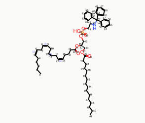 CCCCC/C=C\C/C=C\C/C=C\C/C=C\CCCC(=O)O[C@H](COC(=O)CCCCCCCCCCCCCCC)COP(=O)(O)OCCNC(c1ccccc1)(c1ccccc1)c1ccccc1